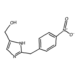 O=[N+]([O-])c1ccc(Cc2ncc(CO)[nH]2)cc1